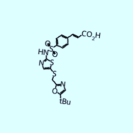 CC(C)(C)c1cnc(CSc2cnc(NS(=O)(=O)c3ccc(/C=C/C(=O)O)cc3)s2)o1